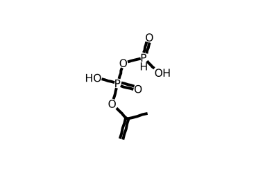 C=C(C)OP(=O)(O)O[PH](=O)O